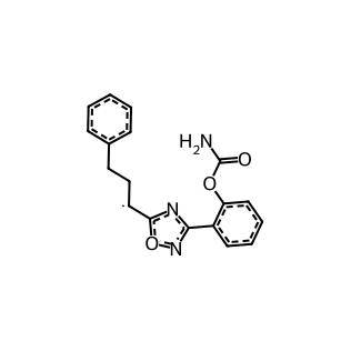 NC(=O)Oc1ccccc1-c1noc([CH]CCc2ccccc2)n1